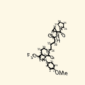 COc1ccc(-n2nc(C(F)(F)F)c3c2C(=O)N(CCCC(=O)NC2(C(=O)N4CCCC4)CC2)CC3)cc1